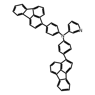 c1cncc(N(c2ccc(-c3ccc4c5c(cccc35)-c3ccccc3-4)cc2)c2ccc(-c3ccc4c5c(cccc35)-c3ccccc3-4)cc2)c1